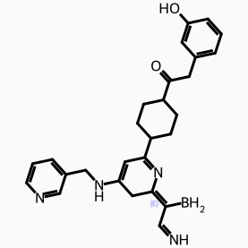 B/C(C=N)=C1/CC(NCc2cccnc2)=CC(C2CCC(C(=O)Cc3cccc(O)c3)CC2)=N1